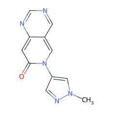 Cn1cc(-n2cc3cncnc3cc2=O)cn1